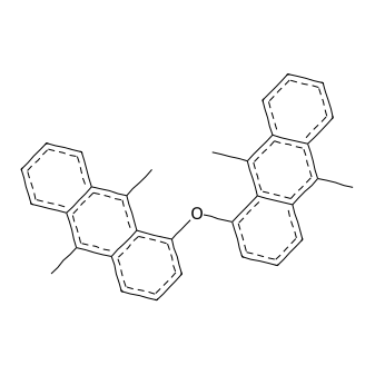 Cc1c2ccccc2c(C)c2c(Oc3cccc4c(C)c5ccccc5c(C)c34)cccc12